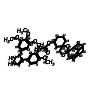 COc1ccc(C2=CNNN2c2cc(OC)c(OC)c(OC)c2)cc1NC(=O)OC1CCCC2(COC3(O2)C2CC4CC(C2)CC3C4)C1